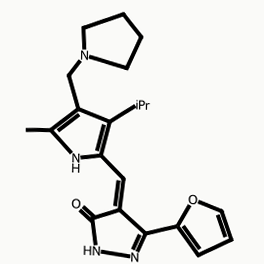 Cc1[nH]c(C=C2C(=O)NN=C2c2ccco2)c(C(C)C)c1CN1CCCC1